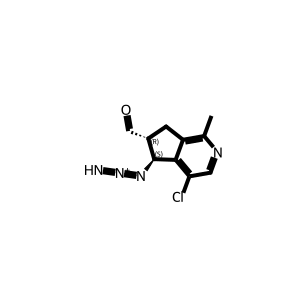 Cc1ncc(Cl)c2c1C[C@@H](C=O)[C@@H]2N=[N+]=N